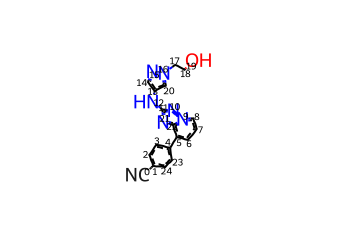 N#Cc1ccc(-c2cccn3nc(Nc4cnn(CCO)c4)nc23)cc1